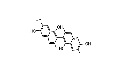 Cc1cc2c(O)c(-c3c(C)cc4cc(O)c(O)cc4c3O)c(C)cc2cc1O